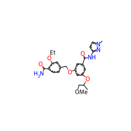 CCOc1cc(COc2cc(OC(C)COC)cc(C(=O)Nc3ccn(C)n3)c2)ccc1C(N)=O